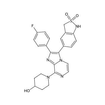 O=S1(=O)Cc2cc(-c3c(-c4ccc(F)cc4)nc4c(N5CCC(O)CC5)nccn34)ccc2N1